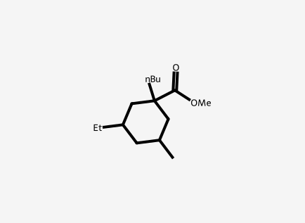 CCCCC1(C(=O)OC)CC(C)CC(CC)C1